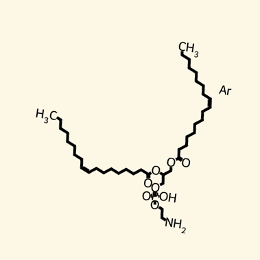 CCCCCCCC/C=C\CCCCCCCC(=O)OCC(COP(=O)(O)OCCN)OC(=O)CCCCCCC/C=C\CCCCCCCC.[Ar]